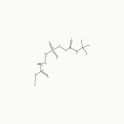 CC(C)(C)OC(=O)CCS(=O)(=O)CCNC(=O)CI